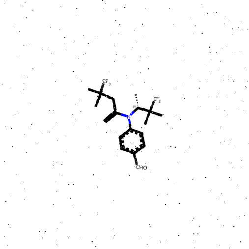 C=C(CC(C)(C)C(F)(F)F)N(c1ccc(C=O)cc1)[C@H](C)C(C)(C)C(F)(F)F